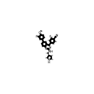 COc1ccc(-c2ccc3nc(NC[C@H]4CCNC4)nc(-c4ccc(C#N)c(F)c4)c3c2)cc1F